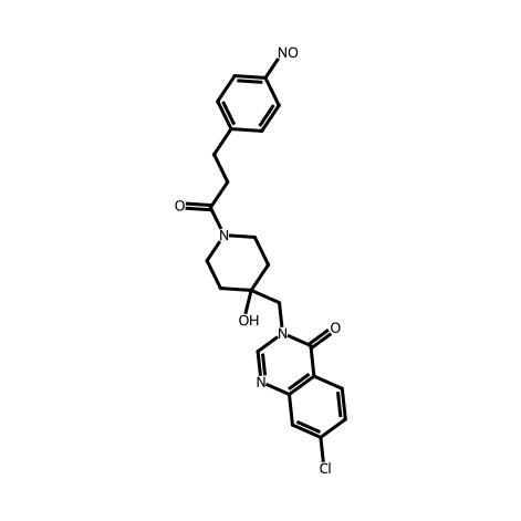 O=Nc1ccc(CCC(=O)N2CCC(O)(Cn3cnc4cc(Cl)ccc4c3=O)CC2)cc1